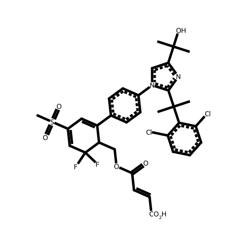 CC(C)(O)c1cn(-c2ccc(C3=CC(S(C)(=O)=O)=CC(F)(F)C3COC(=O)C=CC(=O)O)cc2)c(C(C)(C)c2c(Cl)cccc2Cl)n1